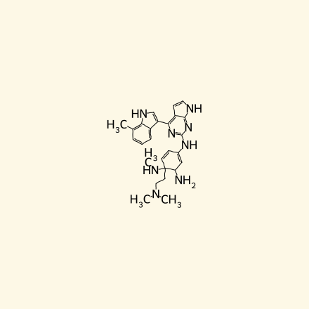 CNC1(CCN(C)C)C=CC(Nc2nc(-c3c[nH]c4c(C)cccc34)c3cc[nH]c3n2)=CC1N